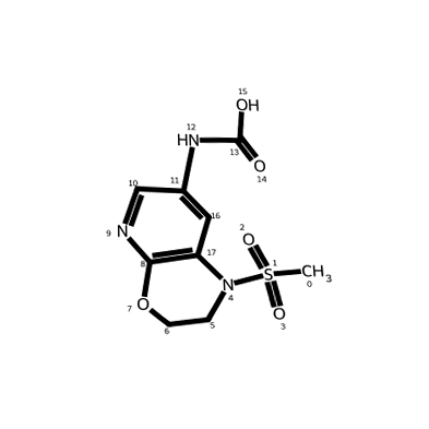 CS(=O)(=O)N1CCOc2ncc(NC(=O)O)cc21